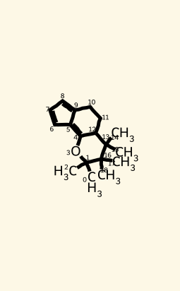 CC1(C)OC2=C3C=CC=C3CCC2C(C)(C)C1(C)C